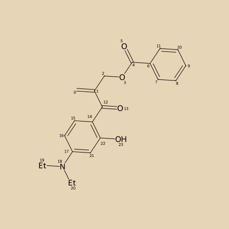 C=C(COC(=O)c1ccccc1)C(=O)c1ccc(N(CC)CC)cc1O